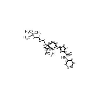 C[Si](C)(C)CCOCn1cc(C(=O)O)c2nc(-c3ccc(C(=O)NC4CCOCC4)s3)cnc21